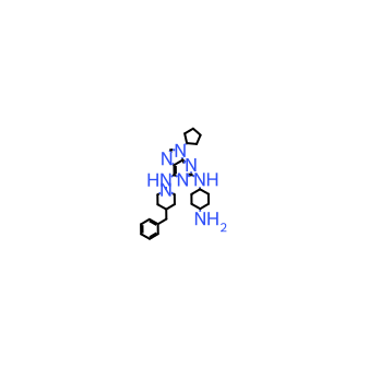 N[C@H]1CC[C@H](Nc2nc(NN3CCC(Cc4ccccc4)CC3)c3ncn(C4CCCC4)c3n2)CC1